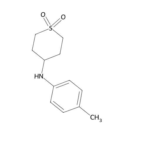 Cc1ccc(NC2CCS(=O)(=O)CC2)cc1